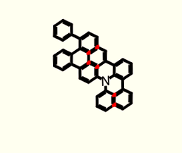 c1ccc(-c2ccccc2-c2ccccc2-c2ccc(N(c3ccccc3)c3c(-c4ccccc4)cccc3-c3ccccc3)cc2)cc1